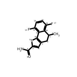 CC1Cc2cc(C(N)=O)sc2-c2c(F)ccc(F)c21